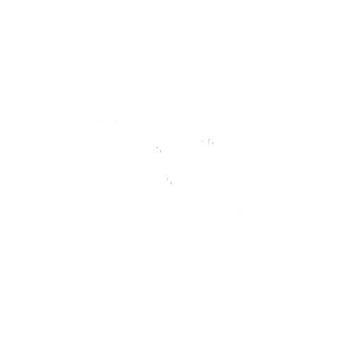 N#Cc1ccccc1-n1ccc(C=O)n1